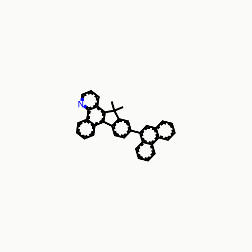 CC1(C)c2cc(-c3cc4ccccc4c4ccccc34)ccc2-c2c1c1cccnc1c1ccccc21